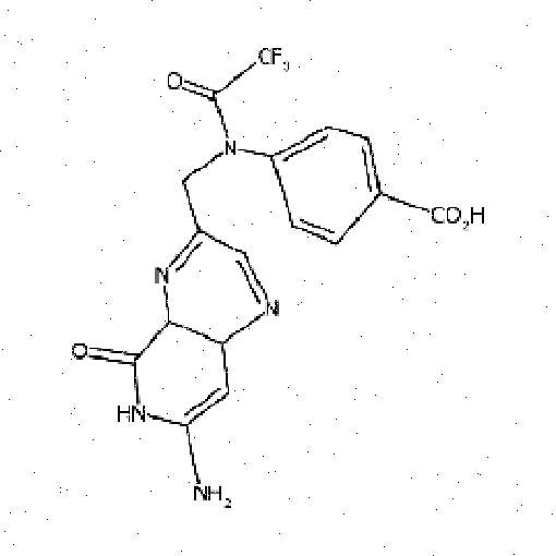 NC1=CC2N=CC(CN(C(=O)C(F)(F)F)c3ccc(C(=O)O)cc3)=NC2C(=O)N1